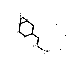 CO[SiH2]CC1CCC2OC2C1